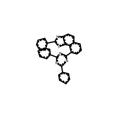 c1ccc(-c2nc(-c3ccccc3)nc(-c3cccc4ccc5nc(-c6ccccc6)sc5c34)n2)cc1